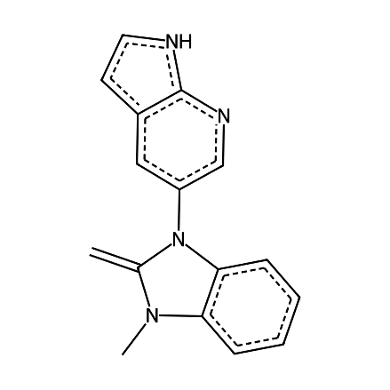 C=C1N(C)c2ccccc2N1c1cnc2[nH]ccc2c1